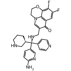 Nc1ccc([C@@](NCc2cn3c4c(c(F)c(F)cc4c2=O)OCC3)(c2ccncc2)[C@@H]2CCCNC2)cn1